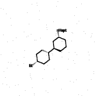 CCCCCCC[C@@H]1CCC[C@@H]([C@H]2CC[C@@H](CC)CC2)C1